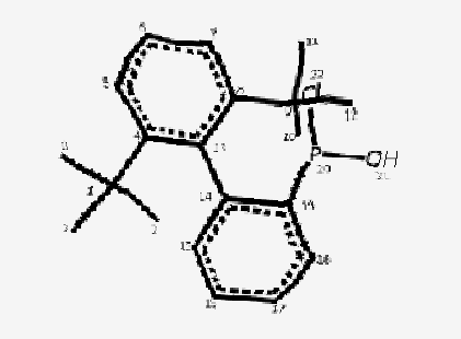 CC(C)(C)c1cccc(C(C)(C)C)c1-c1ccccc1P(O)Cl